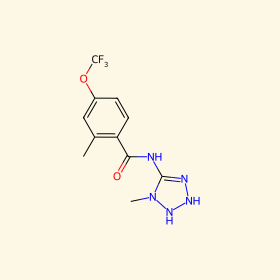 Cc1cc(OC(F)(F)F)ccc1C(=O)NC1=NNNN1C